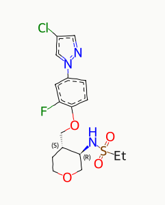 CCS(=O)(=O)N[C@H]1COCC[C@@H]1COc1ccc(-n2cc(Cl)cn2)cc1F